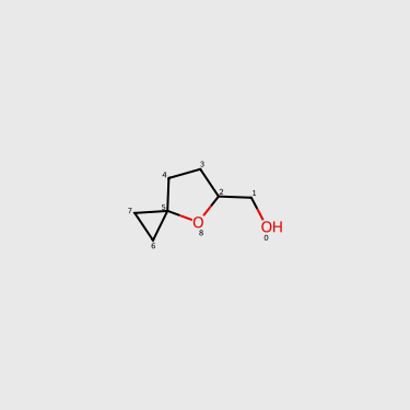 OCC1CCC2(CC2)O1